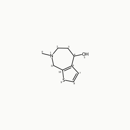 CN1CCC(O)c2ccsc2C1